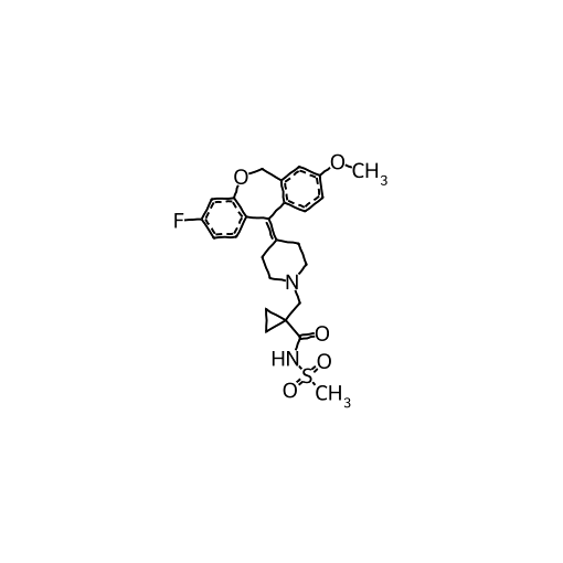 COc1ccc2c(c1)COc1cc(F)ccc1C2=C1CCN(CC2(C(=O)NS(C)(=O)=O)CC2)CC1